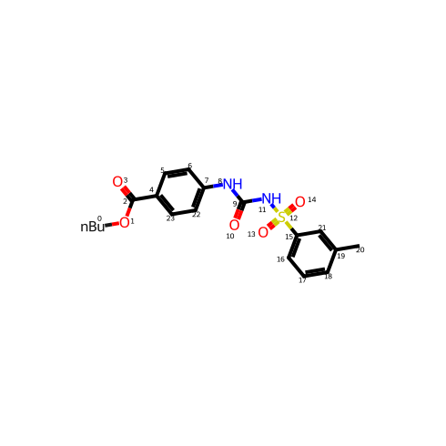 CCCCOC(=O)c1ccc(NC(=O)NS(=O)(=O)c2cccc(C)c2)cc1